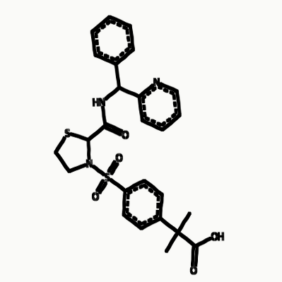 CC(C)(C(=O)O)c1ccc(S(=O)(=O)N2CCSC2C(=O)NC(c2ccccc2)c2ccccn2)cc1